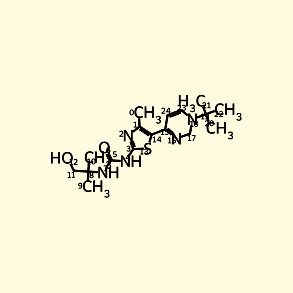 Cc1nc(NC(=O)NC(C)(C)CO)sc1C1=NCN(C(C)(C)C)C=C1